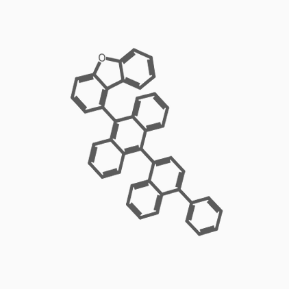 c1ccc(-c2ccc(-c3c4ccccc4c(-c4cccc5oc6ccccc6c45)c4ccccc34)c3ccccc23)cc1